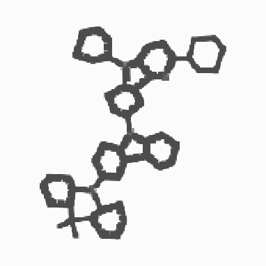 CC1(C)c2ccccc2N(c2ccc3c(c2)c2ccccc2n3-c2ccc3c(c2)c2nc(C4CCCCC4)ccc2n3-c2ccccc2)c2ccccc21